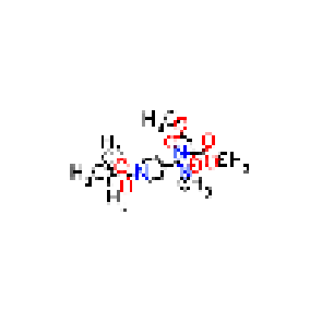 COC(=O)CC1(C(=O)OC)N=C(C2CCN(C(=O)OC(C)(C)C)CC2)N(C)O1